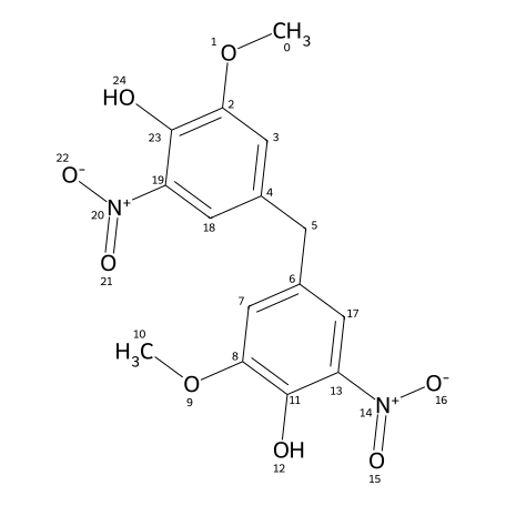 COc1cc(Cc2cc(OC)c(O)c([N+](=O)[O-])c2)cc([N+](=O)[O-])c1O